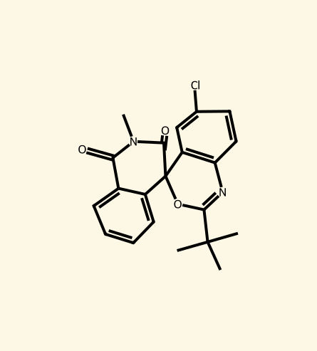 CN1C(=O)c2ccccc2C2(OC(C(C)(C)C)=Nc3ccc(Cl)cc32)C1=O